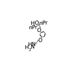 CCCC(O)(CCC)COc1cccc(OCCNN)c1